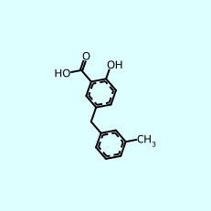 Cc1cccc(Cc2ccc(O)c(C(=O)O)c2)c1